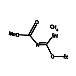 C.CCOC(S)=NC(=O)OC